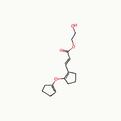 O=C(C=CC1=C(OC2=CCCC2)CCC1)OCCO